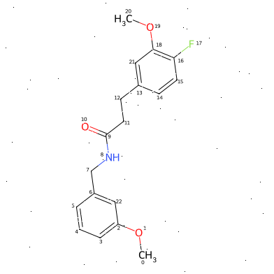 COc1cccc(CNC(=O)CCc2ccc(F)c(OC)c2)c1